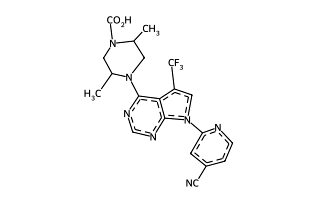 CC1CN(c2ncnc3c2c(C(F)(F)F)cn3-c2cc(C#N)ccn2)C(C)CN1C(=O)O